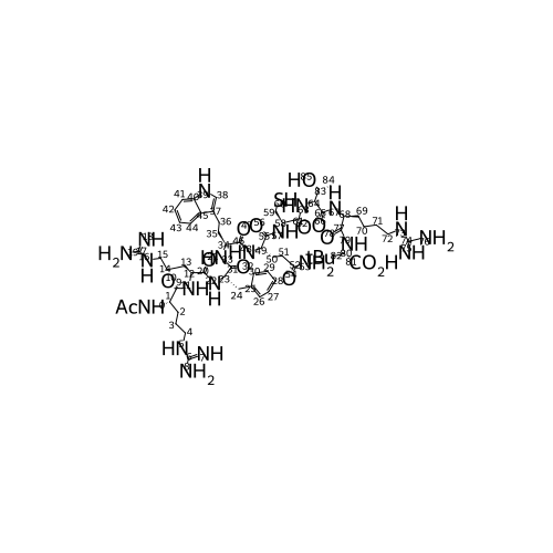 CC(=O)N[C@@H](CCCNC(=N)N)C(=O)N[C@@H](CCCNC(=N)N)C(=O)N[C@@H](Cc1ccccc1)C(=O)N[C@@H](CCc1c[nH]c2ccccc12)C(=O)N[C@@H](CCC(N)=O)C(=O)N[C@@H](CS)C(=O)N[C@H](C(=O)N[C@@H](CCCCNC(=N)N)C(=O)N[C@H](C(=O)O)C(C)(C)C)[C@@H](C)O